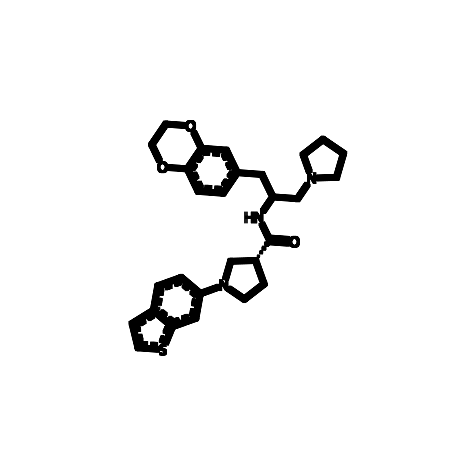 O=C(NC(Cc1ccc2c(c1)OCCO2)CN1CCCC1)[C@@H]1CCN(c2ccc3ccsc3c2)C1